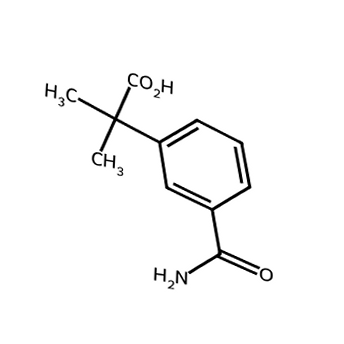 CC(C)(C(=O)O)c1cccc(C(N)=O)c1